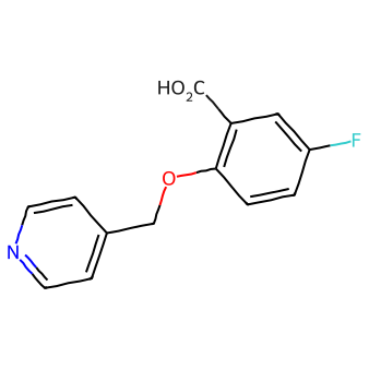 O=C(O)c1cc(F)ccc1OCc1ccncc1